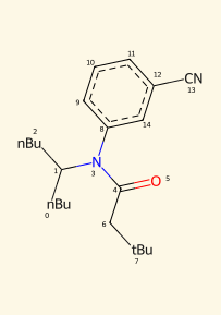 CCCCC(CCCC)N(C(=O)CC(C)(C)C)c1cccc(C#N)c1